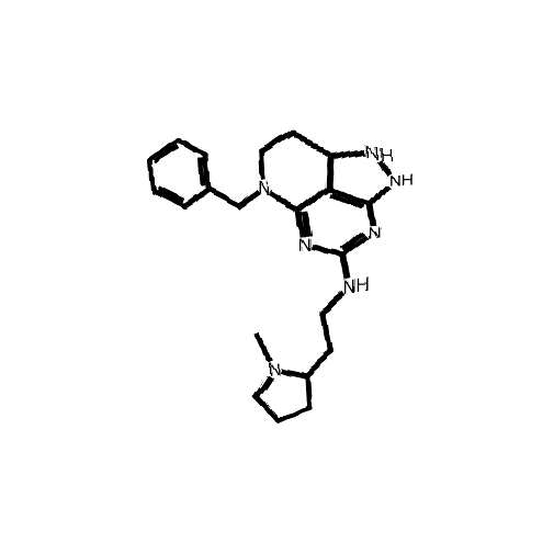 CN1CCCC1CCNc1nc2c3c(n1)N(Cc1ccccc1)CCC3NN2